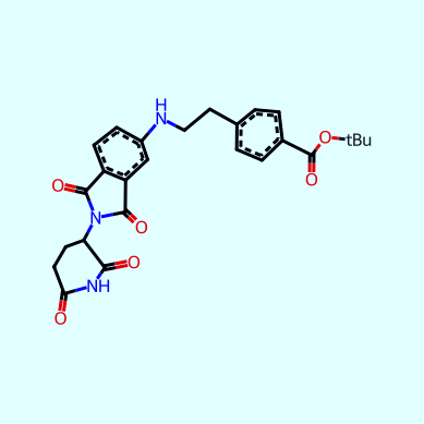 CC(C)(C)OC(=O)c1ccc(CCNc2ccc3c(c2)C(=O)N(C2CCC(=O)NC2=O)C3=O)cc1